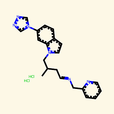 CC(CC=NCc1ccccn1)Cn1ccc2ccc(-n3cnnc3)cc21.Cl.Cl